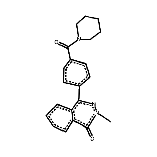 Cn1nc(-c2ccc(C(=O)N3CCCCC3)cc2)c2ccccc2c1=O